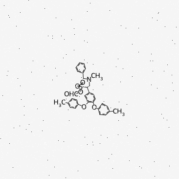 Cc1ccc(Oc2ccc(C(CN(C)Cc3ccccc3)S(=O)(=O)OC=O)cc2Oc2ccc(C)cc2)cc1